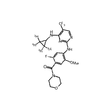 [2H]C1([2H])C(Nc2nc(Nc3cc(F)c(C(=O)N4CCOCC4)cc3OC)ncc2C(F)(F)F)C1([2H])[2H]